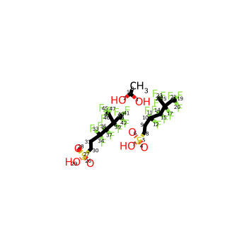 CC(O)O.O=S(=O)(O)CCC(F)(F)C(F)(F)C(F)(C(F)(F)F)C(F)(F)F.O=S(=O)(O)CCC(F)(F)C(F)(F)C(F)(C(F)(F)F)C(F)(F)F